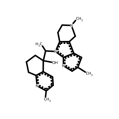 Cc1cnc2c(c1)c1c(n2C(C)C2(O)CCCc3nc(C)ccc32)CCN(C)C1